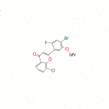 CCCOc1cc(-c2cc(=O)c3cccc(Cl)c3o2)c(F)cc1Br